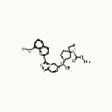 CC(C)Oc1cccc2ccc(-c3nnc4n3CN([C@@H](N3CCC(CF)(NC(=O)OC(C)(C)C)C3)C(F)(F)F)C=C4)nc12